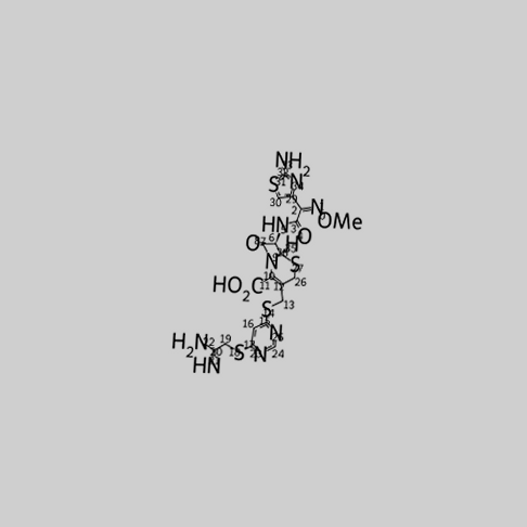 CO/N=C(\C(=O)N[C@@H]1C(=O)N2C(C(=O)O)=C(CSc3cc(SCC(=N)N)ncn3)CS[C@@H]12)c1csc(N)n1